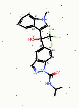 CC(C)NC(=O)n1ncc2cc(C(O)(c3cn(C)c4ccccc34)C(F)(F)F)ccc21